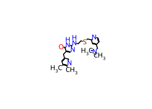 Cc1cc(Cc2cnc(NCCSCc3cc(CN(C)C)ccn3)[nH]c2=O)cnc1C